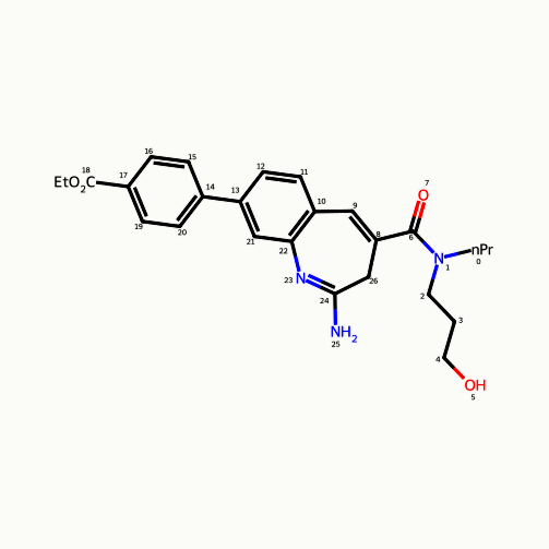 CCCN(CCCO)C(=O)C1=Cc2ccc(-c3ccc(C(=O)OCC)cc3)cc2N=C(N)C1